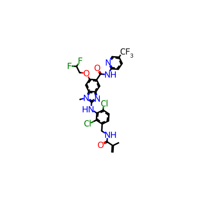 C=C(C)C(=O)NCc1ccc(Cl)c(Nc2nc3cc(C(=O)Nc4ccc(C(F)(F)F)cn4)c(OCC(F)F)cc3n2C)c1Cl